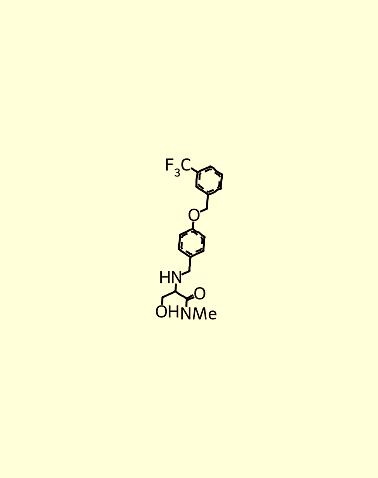 CNC(=O)C(CO)NCc1ccc(OCc2cccc(C(F)(F)F)c2)cc1